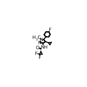 Cn1nc(NC(=O)[C@@H]2CC2(F)F)c(C2CC2)c1-c1ccc(F)cc1